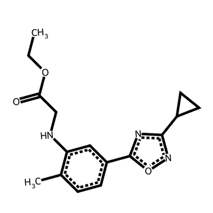 CCOC(=O)CNc1cc(-c2nc(C3CC3)no2)ccc1C